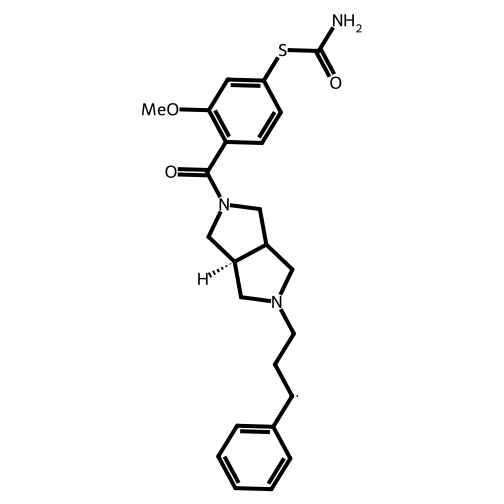 COc1cc(SC(N)=O)ccc1C(=O)N1CC2CN(CC[CH]c3ccccc3)C[C@H]2C1